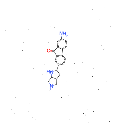 CN1CC2CC(c3ccc4c(c3)C(=O)c3cc(N)ccc3-4)NC2C1